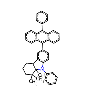 CC1(C)CCCC2c3cc(-c4c5ccccc5c(-c5ccccc5)c5ccccc45)ccc3N(c3ccccc3)C21C